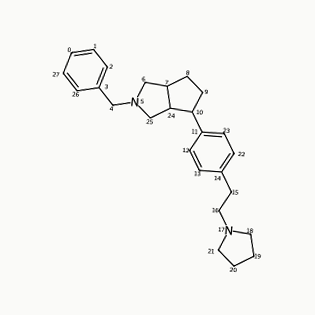 c1ccc(CN2CC3CCC(c4ccc(CCN5CCCC5)cc4)C3C2)cc1